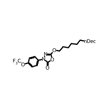 CCCCCCCCCCCCCCCCOc1nn(-c2ccc(OC(F)(F)F)cc2)c(=O)o1